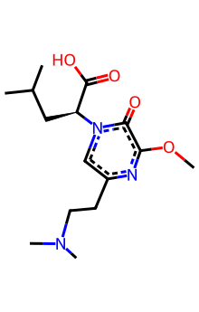 COc1nc(CCN(C)C)cn([C@@H](CC(C)C)C(=O)O)c1=O